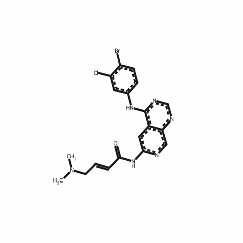 CN(C)CC=CC(=O)Nc1cc2c(Nc3ccc(Br)c(Cl)c3)ncnc2cn1